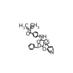 CCN(OC)C(=O)c1ccc(NC(=O)C2CSC(c3ccncc3)N2C(=O)OCc2ccccc2)cc1